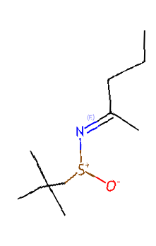 CCC/C(C)=N/[S+]([O-])C(C)(C)C